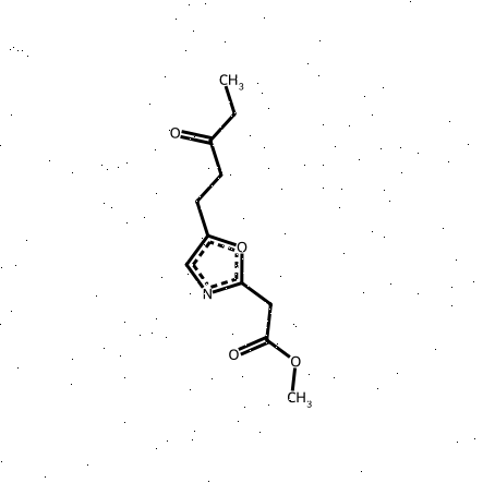 CCC(=O)CCc1cnc(CC(=O)OC)o1